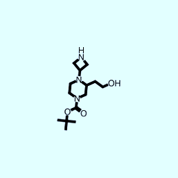 CC(C)(C)OC(=O)N1CCN(C2CNC2)C(CCO)C1